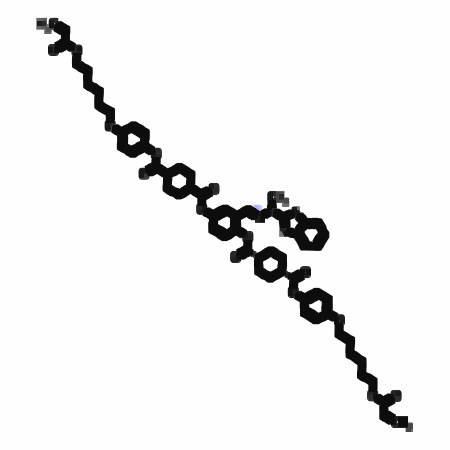 C=CC(=O)OCCCCCCOc1ccc(OC(=O)C2CCC(C(=O)Oc3ccc(OC(=O)[C@H]4CC[C@@H](C(=O)Oc5ccc(OCCCCCCOC(=O)C=C)cc5)CC4)c(/C=N/N(C)c4nc5ccccc5s4)c3)CC2)cc1